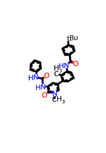 Cc1c(NC(=O)c2ccc(C(C)(C)C)cc2)cccc1-c1cc(NC(=O)Nc2ccccc2)c(=O)n(C)c1